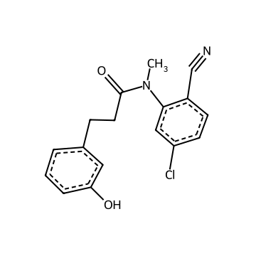 CN(C(=O)CCc1cccc(O)c1)c1cc(Cl)ccc1C#N